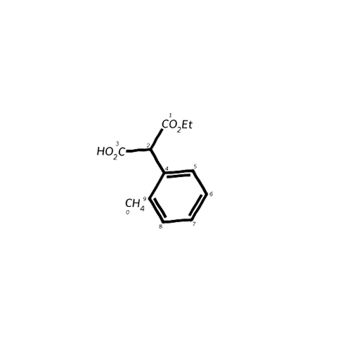 C.CCOC(=O)C(C(=O)O)c1ccccc1